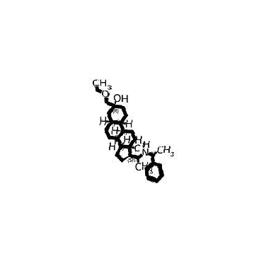 CCOC[C@@]1(O)CC[C@H]2[C@H](CC[C@@H]3[C@@H]2CC[C@]2(C)[C@@H]([C@H](C)N[C@@H](C)c4ccccc4)CC[C@@H]32)C1